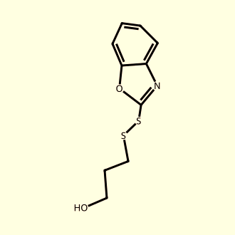 OCCCSSc1nc2ccccc2o1